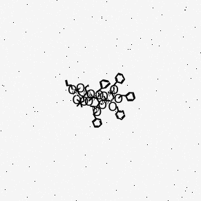 C=CCO[C@@H]1OC(C)[C@H](O[C@@H]2OC[C@@H](OCc3ccccc3)C(O[C@@H]3OC[C@@H](OCc4ccccc4)C(OCc4ccccc4)C3OCc3ccccc3)C2OCc2ccccc2)C2OC(C)(C)OC21